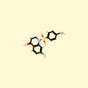 Cc1ccc(S(=O)(=O)N2CCC(=O)c3ccc(Cl)cc32)cc1